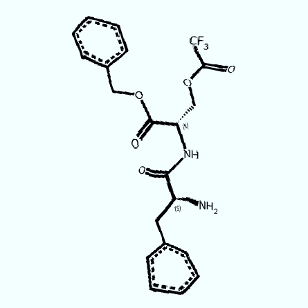 N[C@@H](Cc1ccccc1)C(=O)N[C@@H](COC(=O)C(F)(F)F)C(=O)OCc1ccccc1